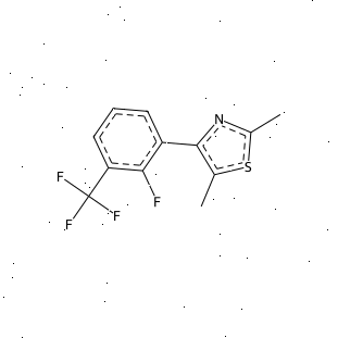 Cc1nc(-c2cccc(C(F)(F)F)c2F)c(C)s1